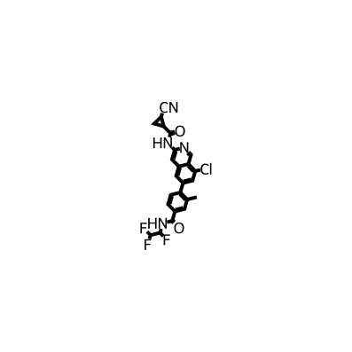 Cc1cc(C(=O)NC(F)C(F)F)ccc1-c1cc(Cl)c2cnc(NC(=O)C3CC3C#N)cc2c1